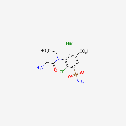 Br.NCC(=O)N(CC(=O)O)c1cc(C(=O)O)cc(S(N)(=O)=O)c1Cl